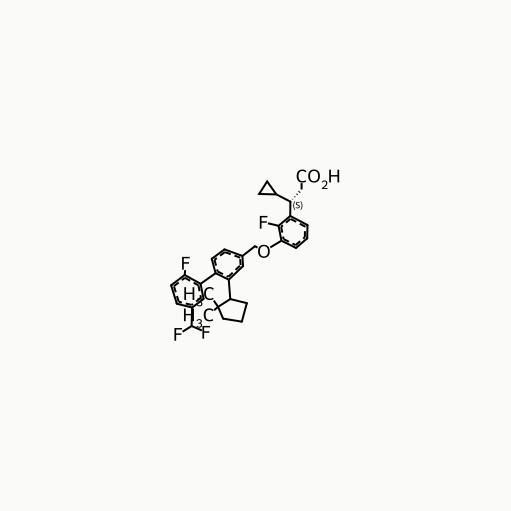 CC1(C)CCCC1c1cc(COc2cccc([C@@H](CC(=O)O)C3CC3)c2F)ccc1-c1cc(C(F)F)ccc1F